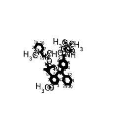 COc1ccc2c(c1)C1CC1(CON(C)CC1CCCCN1C)Cn1c-2c(C2CCCCC2)c2ccc(C(=O)NS(=O)(=O)N(C)C)cc21